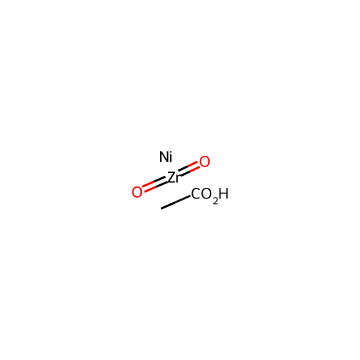 CC(=O)O.[Ni].[O]=[Zr]=[O]